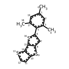 Cc1cc(C)c(-c2cc3sc4ccsc4c3s2)c(C)c1